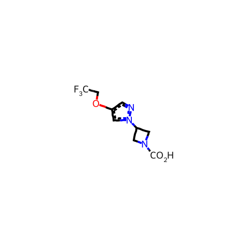 O=C(O)N1CC(n2cc(OCC(F)(F)F)cn2)C1